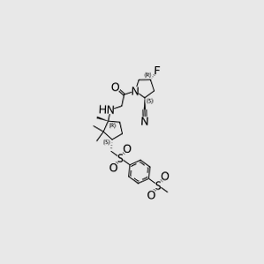 CC1(C)[C@@H](CS(=O)(=O)c2ccc(S(C)(=O)=O)cc2)CC[C@@]1(C)NCC(=O)N1C[C@H](F)C[C@H]1C#N